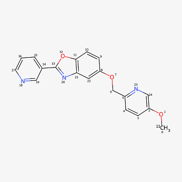 [11CH3]Oc1ccc(COc2ccc3oc(-c4cccnc4)nc3c2)nc1